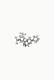 CC(C)c1cc(-c2nccc3cc(C4CCCCC4)ccc23)cc(C(C)C)c1